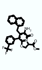 COC(=O)C1COc2c(-c3cccc(C(F)(F)F)c3)c(Cc3cccc4ccccc34)c(N)c(=O)n21